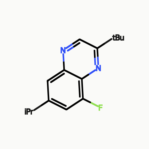 CC(C)c1cc(F)c2nc(C(C)(C)C)cnc2c1